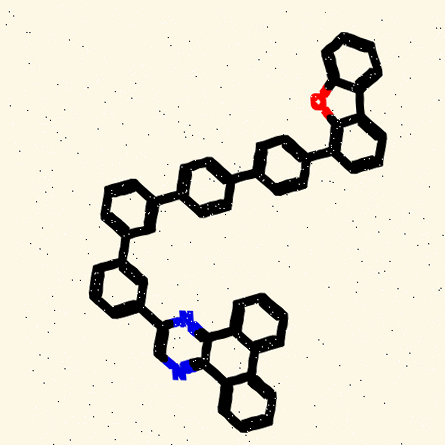 c1cc(-c2ccc(-c3ccc(-c4cccc5c4oc4ccccc45)cc3)cc2)cc(-c2cccc(-c3cnc4c5ccccc5c5ccccc5c4n3)c2)c1